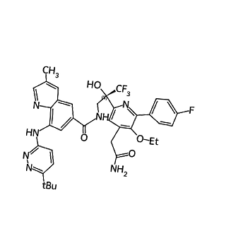 CCOc1c(CC(N)=O)cc([C@@](O)(CNC(=O)c2cc(Nc3ccc(C(C)(C)C)nn3)c3ncc(C)cc3c2)C(F)(F)F)nc1-c1ccc(F)cc1